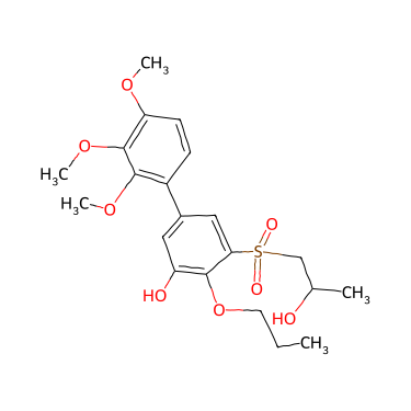 CCCOc1c(O)cc(-c2ccc(OC)c(OC)c2OC)cc1S(=O)(=O)CC(C)O